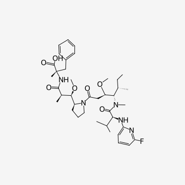 CC[C@H](C)[C@@H]([C@@H](CC(=O)N1CCC[C@H]1[C@H](OC)[C@@H](C)C(=O)N[C@@](C)(Cc1ccccc1)C(=O)O)OC)N(C)C(=O)[C@@H](Nc1cccc(F)n1)C(C)C